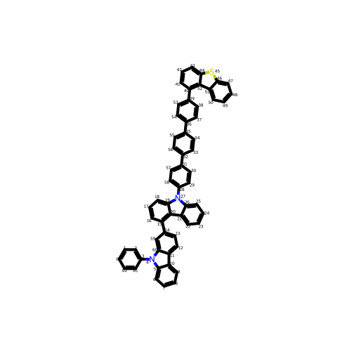 c1ccc(-n2c3ccccc3c3ccc(-c4cccc5c4c4ccccc4n5-c4ccc(-c5ccc(-c6ccc(-c7cccc8sc9ccccc9c78)cc6)cc5)cc4)cc32)cc1